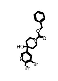 CC(C)c1ncc(C2(O)CCN(C(=O)OCc3ccccc3)CC2)cc1Br